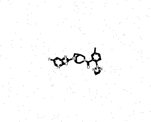 Cc1ccc(-n2nccn2)c(C(=O)N2CC3CC(C2)N(c2nc4cc(F)cnc4o2)C3)c1